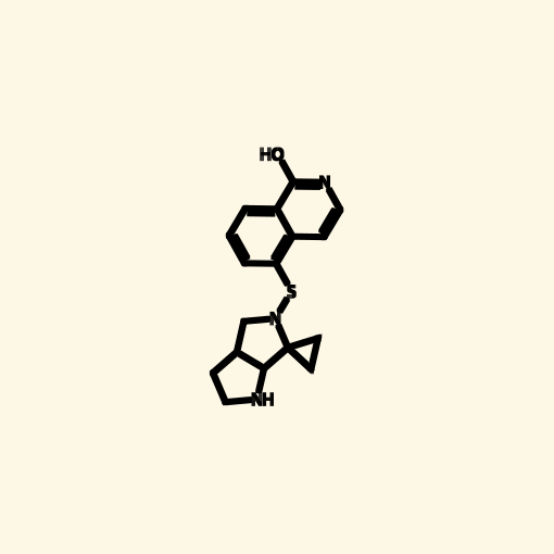 Oc1nccc2c(SN3CC4CCNC4C34CC4)cccc12